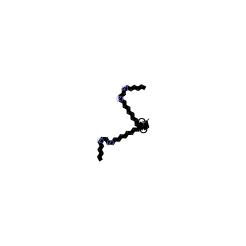 CCCCC/C=C\C/C=C\CCCCCCCCC1(CCCCCCCC/C=C\C/C=C\CCCCC)OC[C@@H](C)O1